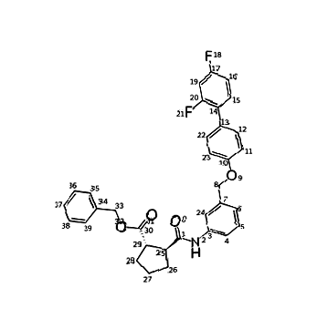 O=C(Nc1cccc(COc2ccc(-c3ccc(F)cc3F)cc2)c1)[C@H]1CCC[C@@H]1C(=O)OCc1ccccc1